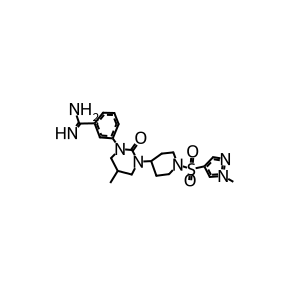 CC1CN(c2cccc(C(=N)N)c2)C(=O)N(C2CCN(S(=O)(=O)c3cnn(C)c3)CC2)C1